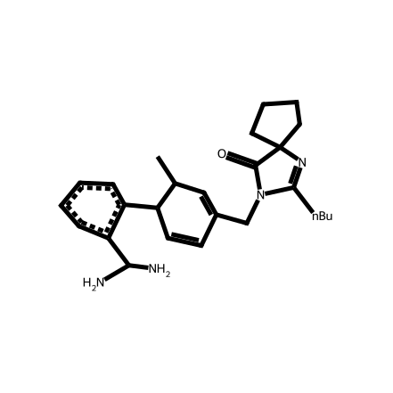 CCCCC1=NC2(CCCC2)C(=O)N1CC1=CC(C)C(c2ccccc2C(N)N)C=C1